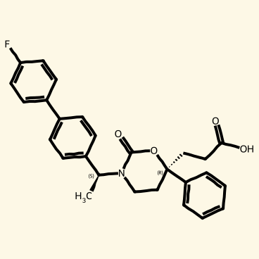 C[C@@H](c1ccc(-c2ccc(F)cc2)cc1)N1CC[C@](CCC(=O)O)(c2ccccc2)OC1=O